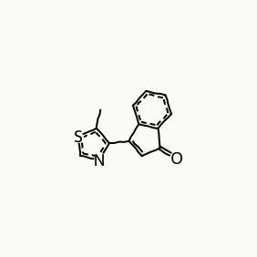 Cc1scnc1C1=CC(=O)c2ccccc21